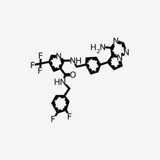 Nc1ncnn2ccc(-c3ccc(CNc4ncc(C(F)(F)F)cc4C(=O)NCc4ccc(F)c(F)c4)cc3)c12